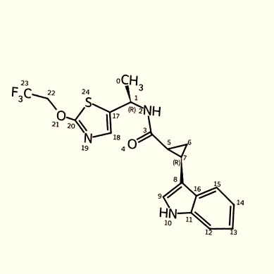 C[C@@H](NC(=O)C1C[C@H]1c1c[nH]c2ccccc12)c1cnc(OCC(F)(F)F)s1